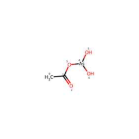 CC(=O)O[As](O)O